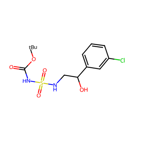 CC(C)(C)OC(=O)NS(=O)(=O)NCC(O)c1cccc(Cl)c1